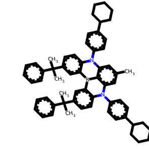 Cc1cc2c3c(c1)N(c1ccc(C4CCCCC4)cc1)c1ccc(C(C)(C)c4ccccc4)cc1B3c1cc(C(C)(C)c3ccccc3)ccc1N2c1ccc(C2CCCCC2)cc1